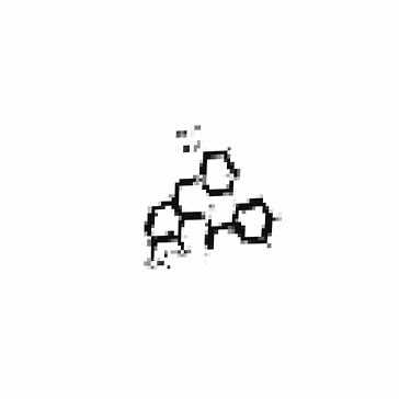 COc1ccc(CN2CCNCC2)c(OC(=O)c2ccccc2)c1OC.Cl.Cl